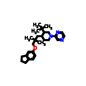 CC(C)(COc1ccc2c(c1)CCC2)CC1CCN(c2cnccn2)CC1C(C)(C)C